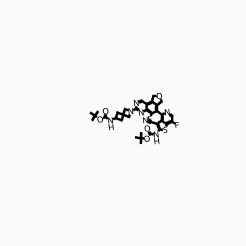 CC(C)(C)OC(=O)Nc1sc2c(F)cnc(-c3c4c(c5cnc(N6CC7(CC(NC(=O)OC(C)(C)C)C7)C6)nc5c3F)COC4)c2c1C#N